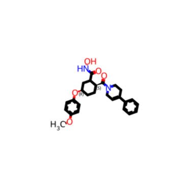 COc1ccc(O[C@@H]2CC[C@H](C(=O)N3CC=C(c4ccccc4)CC3)C(C(=O)NO)C2)cc1